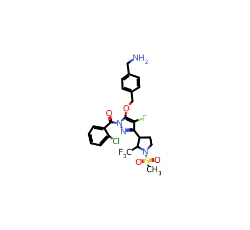 CS(=O)(=O)N1CCC(c2nn(C(=O)c3ccccc3Cl)c(OCc3ccc(CN)cc3)c2F)C1C(F)(F)F